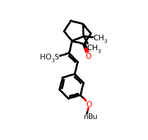 CCCCOc1cccc(C=C(C23CCC(CC2=O)C3(C)C)S(=O)(=O)O)c1